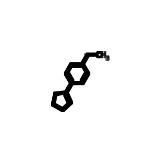 C[CH]c1ccc(C2=CCCC2)cc1